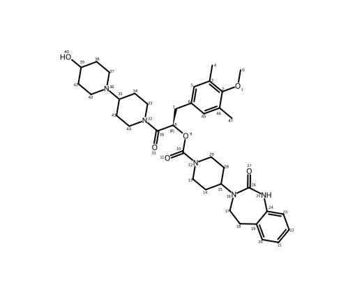 COc1c(C)cc(C[C@@H](OC(=O)N2CCC(N3CCc4ccccc4NC3=O)CC2)C(=O)N2CCC(N3CCC(O)CC3)CC2)cc1C